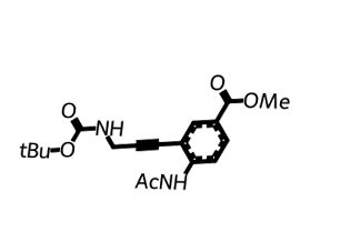 COC(=O)c1ccc(NC(C)=O)c(C#CCNC(=O)OC(C)(C)C)c1